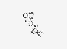 Cc1cccc(N)c1N[C@H]1CCC[C@H](NC(=O)OC(C)(C)C)C1